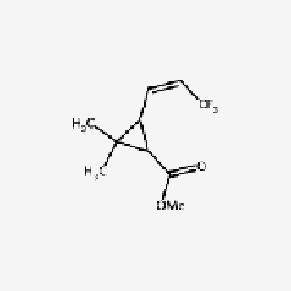 COC(=O)C1C(/C=C\C(F)(F)F)C1(C)C